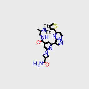 CCN(CC)C(C)CNC(=O)c1cc(-c2cnn3ccc(-c4cccs4)nc23)nc(N2CC(C(N)=O)C2)c1